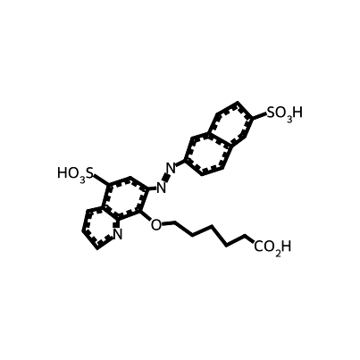 O=C(O)CCCCCOc1c(/N=N/c2ccc3cc(S(=O)(=O)O)ccc3c2)cc(S(=O)(=O)O)c2cccnc12